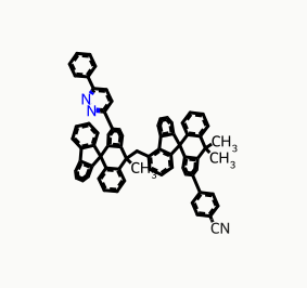 CC1(C)c2ccccc2C2(c3ccccc3-c3c(CC4(C)c5ccccc5C5(c6ccccc6-c6ccccc65)c5cc(-c6ccc(-c7ccccc7)nn6)ccc54)cccc32)c2ccc(-c3ccc(C#N)cc3)cc21